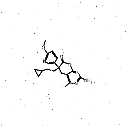 COc1ccc(C2(CCC3CC3)Cc3c(C)nc(N)nc3NC2=O)cn1